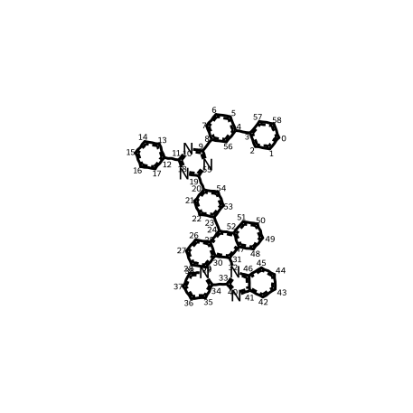 c1ccc(-c2cccc(-c3nc(-c4ccccc4)nc(-c4ccc(-c5c6ccccc6c(-n6c(-c7ccccn7)nc7ccccc76)c6ccccc56)cc4)n3)c2)cc1